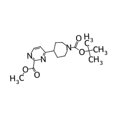 COC(=O)c1nccc(C2CCN(C(=O)OC(C)(C)C)CC2)n1